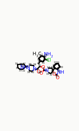 Cc1cc(C[C@@H](OC(=O)N2CCC3(CC2)OC(=O)Nc2ccccc23)C(=O)N2CCN(C3CC4CCC(C3)N4)CC2)cc(Cl)c1N